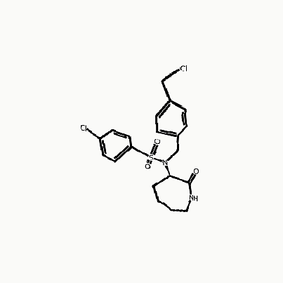 O=C1NCCCC[C@H]1N(Cc1ccc(CCl)cc1)S(=O)(=O)c1ccc(Cl)cc1